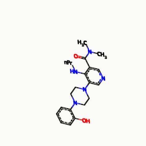 CCCNc1c(C(=O)N(C)C)cncc1N1CCN(c2ccccc2O)CC1